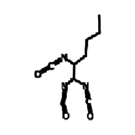 CCCCC(N=C=O)[C](N=C=O)N=C=O